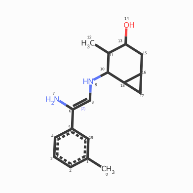 Cc1cccc(/C(N)=C/NC2C(C)C(O)CC3CC32)c1